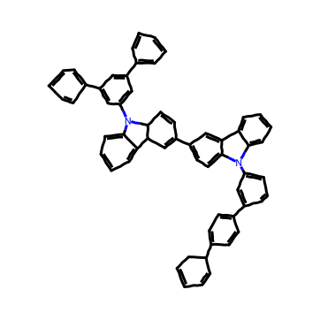 C1=CCC(c2ccc(-c3cccc(-n4c5ccccc5c5cc(C6=CC7c8ccccc8N(c8cc(-c9ccccc9)cc(-c9ccccc9)c8)C7C=C6)ccc54)c3)cc2)C=C1